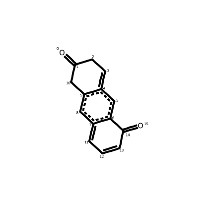 O=C1CC=c2cc3c(cc2C1)=CC=CC3=O